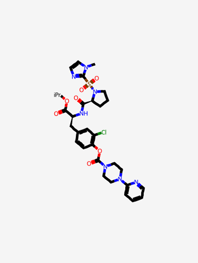 CC(C)OC(=O)[C@H](Cc1ccc(OC(=O)N2CCN(c3ccccn3)CC2)c(Cl)c1)NC(=O)[C@@H]1CCCN1S(=O)(=O)c1nccn1C